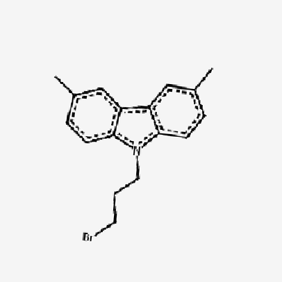 Cc1ccc2c(c1)c1cc(C)ccc1n2CCCBr